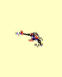 Cc1ncsc1-c1ccc([C@H](C)NC(=O)[C@@H]2C[C@@H](O)CN2C(=O)[C@@H](NC(=O)CCCCCCCCOC(N)=O)C(C)(C)C)cc1